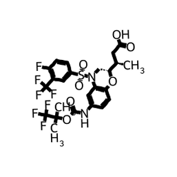 C[C@H](CC(=O)O)[C@H]1CN(S(=O)(=O)c2ccc(F)c(C(F)(F)F)c2)c2cc(NC(=O)OC(C)(C)C(F)(F)F)ccc2O1